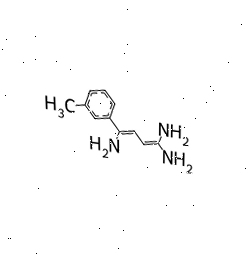 Cc1cccc(/C(N)=C/C=C(N)N)c1